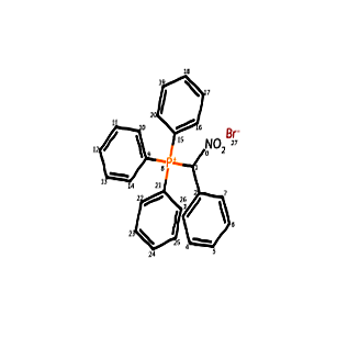 O=[N+]([O-])C(c1ccccc1)[P+](c1ccccc1)(c1ccccc1)c1ccccc1.[Br-]